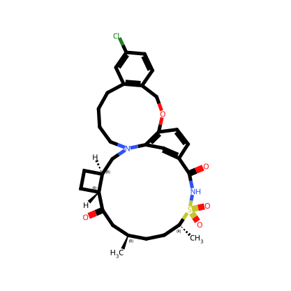 C[C@@H]1CC[C@@H](C)S(=O)(=O)NC(=O)c2ccc3c(c2)N(CCCCc2cc(Cl)ccc2CO3)C[C@@H]2CC[C@H]2C(=O)C1